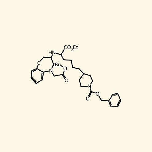 CCOC(=O)C(CCCCC1CCN(C(=O)OCc2ccccc2)CC1)NC1CCc2ccccc2N(CC(=O)OC(C)(C)C)C1